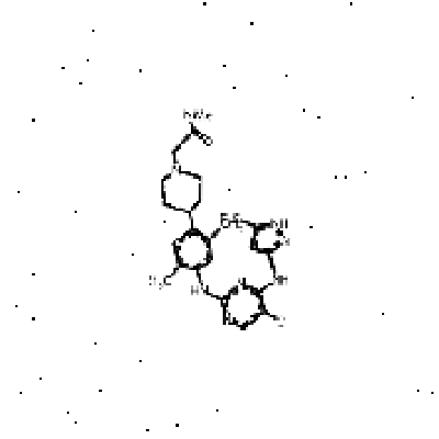 CNC(=O)CN1CCC(c2cc(C)c(Nc3ncc(Cl)c(Nc4cc(C(F)(F)F)[nH]n4)n3)cc2C)CC1